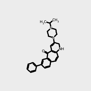 CC(C)N1CCN(C2=Cc3c(ccc4ccc(-c5ccccc5)cc4c3=O)NC2)CC1